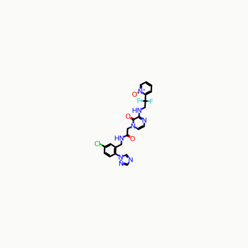 O=C(Cn1ccnc(NCC(F)(F)c2cccc[n+]2[O-])c1=O)NCc1cc(Cl)ccc1-n1cncn1